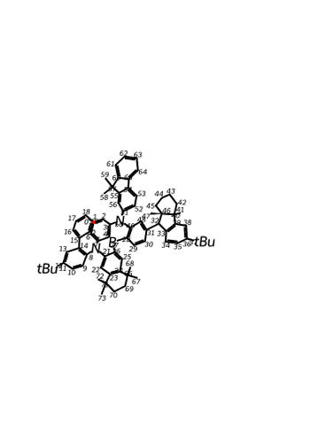 Cc1cc2c3c(c1)N(c1ccc(C(C)(C)C)cc1-c1ccccc1)c1cc4c(cc1B3c1ccc(C3c5ccc(C(C)(C)C)cc5C5(C)CCCC[C@@]35C)cc1N2c1ccc2c(c1)C(C)(C)c1ccccc1-2)C(C)(C)CCC4(C)C